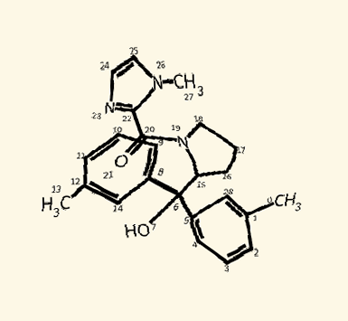 Cc1cccc(C(O)(c2cccc(C)c2)C2CCCN2C(=O)c2nccn2C)c1